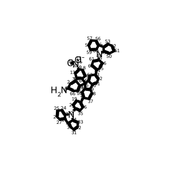 Nc1ccc(C2(c3ccc([N+](=O)[O-])cc3)c3cc(-c4ccc(-n5c6ccccc6c6ccccc65)cc4)ccc3-c3ccc(-c4ccc(-n5c6ccccc6c6ccccc65)cc4)cc32)cc1